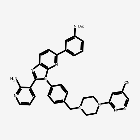 CC(=O)Nc1cccc(-c2ccc3nc(-c4cccnc4N)n(-c4ccc(CN5CCN(c6cc(C#N)cnn6)CC5)cc4)c3n2)c1